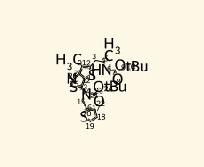 Cc1c(CC(C)NC(=O)OC(C)(C)C)sc2c(N(Cc3cccs3)C(=O)OC(C)(C)C)snc12